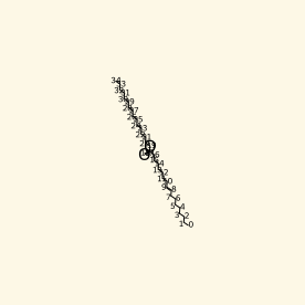 CCCCCCCCC=CCCCCCCCC(=O)OCCCCCCCCCCCCCCC